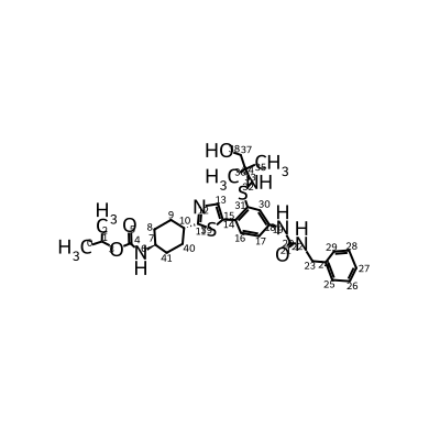 CC(C)OC(=O)N[C@H]1CC[C@H](c2ncc(-c3ccc(NC(=O)NCc4ccccc4)cc3SNC(C)(C)CO)s2)CC1